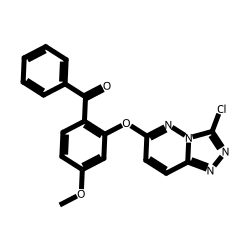 COc1ccc(C(=O)c2ccccc2)c(Oc2ccc3nnc(Cl)n3n2)c1